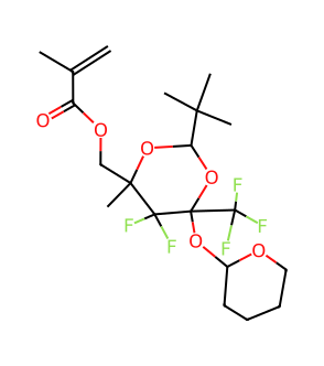 C=C(C)C(=O)OCC1(C)OC(C(C)(C)C)OC(OC2CCCCO2)(C(F)(F)F)C1(F)F